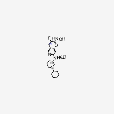 Cl.Cl.O=C(NO)/C(F)=C\c1ccc(N[C@@H]2CCCN(C3CCCCC3)C2)nc1